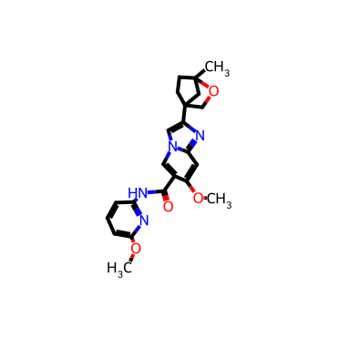 COc1cccc(NC(=O)c2cn3cc(C45CCC(C)(C4)OC5)nc3cc2OC)n1